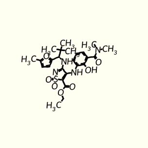 CCOC(=O)C1=C(Nc2cccc(C(=O)N(C)C)c2O)C(N[C@@H](c2ccc(C)o2)C(C)(C)C)=NS1(=O)=O